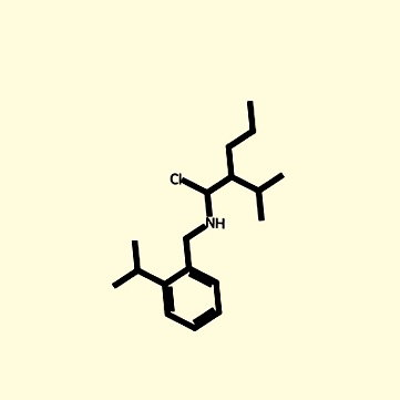 CCCC(C(C)C)C(Cl)NCc1ccccc1C(C)C